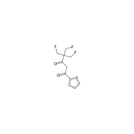 O=C(CC(=O)C(CF)(CF)CF)c1cccs1